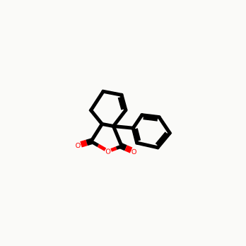 O=C1OC(=O)C2(c3ccccc3)C=CCCC12